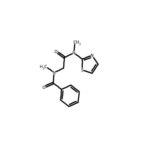 CN(CC(=O)N(C)c1nccs1)C(=O)c1ccccc1